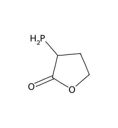 O=C1OCCC1P